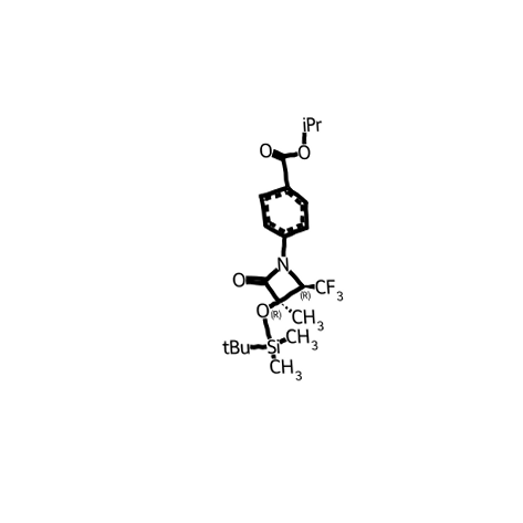 CC(C)OC(=O)c1ccc(N2C(=O)[C@](C)(O[Si](C)(C)C(C)(C)C)[C@@H]2C(F)(F)F)cc1